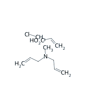 C=CC(=O)O.C=CCN(C)CC=C.CCl